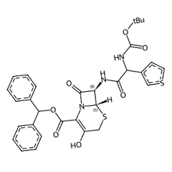 CC(C)(C)OC(=O)NC(C(=O)N[C@@H]1C(=O)N2C(C(=O)OC(c3ccccc3)c3ccccc3)=C(O)CS[C@@H]12)c1ccsc1